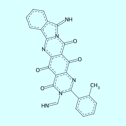 Cc1ccccc1-c1nc2c(=O)c3c(=O)n4c(=N)c5ccccc5c4nc3c(=O)c2c(=O)n1C=N